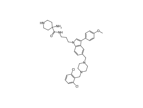 COc1ccc(-c2cn(CCCNC(=O)C3(N)CCNCC3)c3ccc(CN4CCN(Cc5c(Cl)cccc5Cl)CC4)cc23)cc1